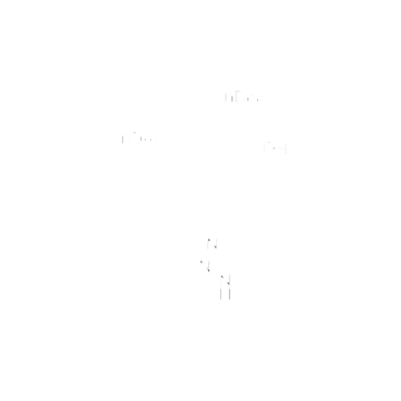 CCCCCCCCCCCCc1c(O)cc(-c2cccc3[nH]nnc23)c(C)c1CCCCCCCCCCCC